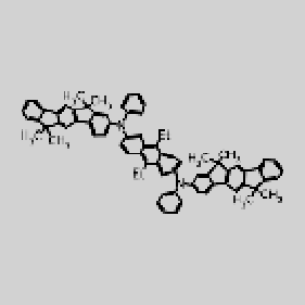 CCc1c2ccc(N(c3ccccc3)c3ccc4c(c3)C(C)(C)c3cc5c(cc3-4)C(C)(C)c3ccccc3-5)cc2c(CC)c2ccc(N(c3ccccc3)c3ccc4c(c3)C(C)(C)c3cc5c(cc3-4)C(C)(C)c3ccccc3-5)cc12